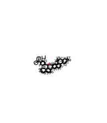 C=C(c1ccc(C(=O)O)cc1)c1c(-c2cc3ccc4c(c3cc2C)C(C)(C)CC2=C4C=CC(C)(C)C2)ccc2ccccc12